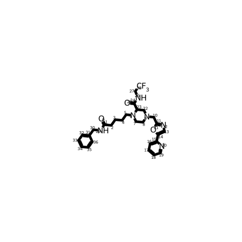 O=C(CCCCN1CCN(Cc2ncc(-c3ccccn3)o2)CC1C(=O)NCC(F)(F)F)NCc1ccccc1